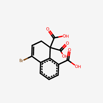 O=C(O)c1cccc2c1C(C(=O)O)(C(=O)O)CC=C2Br